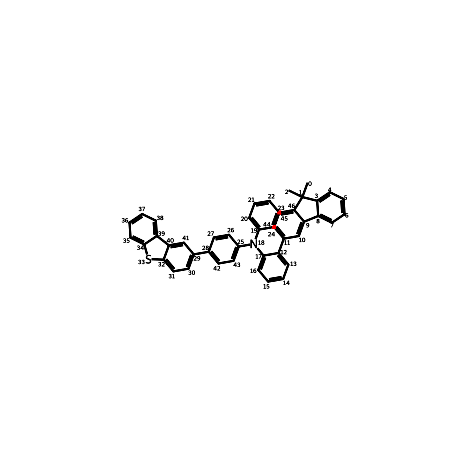 CC1(C)c2ccccc2-c2cc(-c3ccccc3N(c3ccccc3)c3ccc(-c4ccc5sc6ccccc6c5c4)cc3)ccc21